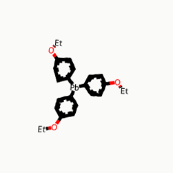 CCOc1cc[c]([Pb]([c]2ccc(OCC)cc2)[c]2ccc(OCC)cc2)cc1